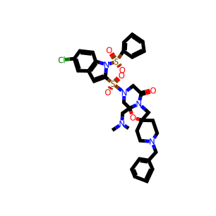 CN(C)CC12CN(S(=O)(=O)c3cc4cc(Cl)ccc4n3S(=O)(=O)c3ccccc3)CC(=O)N1CC1(CCN(Cc3ccccc3)CC1)O2